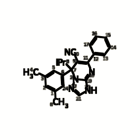 Cc1cc(C)cc(C2(C(C)C)C(C#N)=C(c3ccccc3)N=C3NC=NN32)c1